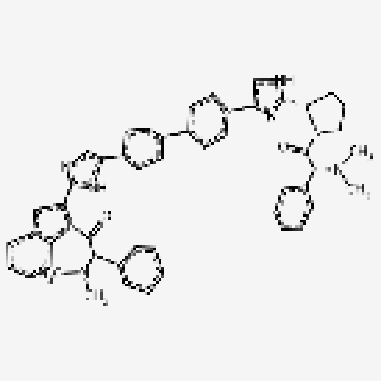 CN(C)C(C(=O)n1c(-c2ncc(-c3ccc(-c4ccc(-c5c[nH]c([C@@H]6CCCN6C(=O)[C@@H](c6ccccc6)N(C)C)n5)cc4)cc3)[nH]2)cc2ccccc21)c1ccccc1